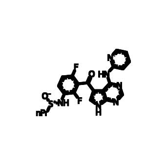 CCC[S+]([O-])Nc1ccc(F)c(C(=O)c2c[nH]c3ncnc(Nc4ccccn4)c23)c1F